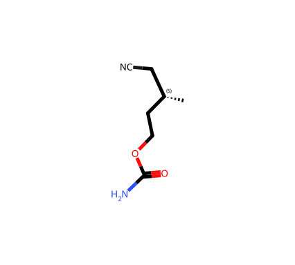 C[C@@H](CC#N)CCOC(N)=O